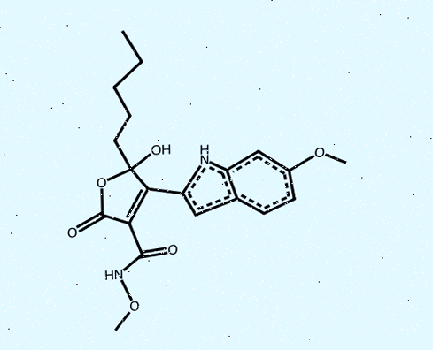 CCCCCC1(O)OC(=O)C(C(=O)NOC)=C1c1cc2ccc(OC)cc2[nH]1